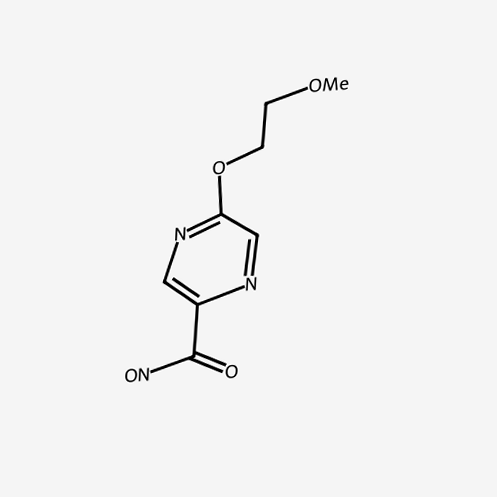 COCCOc1cnc(C(=O)N=O)cn1